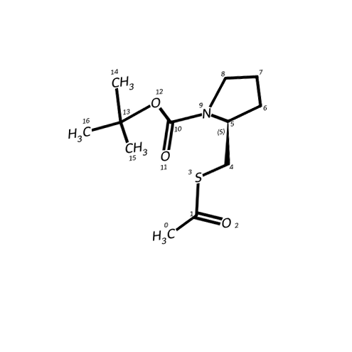 CC(=O)SC[C@@H]1CCCN1C(=O)OC(C)(C)C